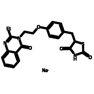 CCc1nc2ccccc2c(=O)n1CCOc1ccc(CC2SC(=O)NC2=O)cc1.[Na]